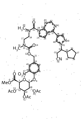 COC(=O)[C@H]1O[C@@H](Oc2ccc(COC(=O)N(C)CCN(C)C(=O)n3ccc4c(-c5cnn(C(CC#N)C6CCCC6)c5)ncnc43)cc2[N+](=O)[O-])[C@H](OC(C)=O)[C@@H](OC(C)=O)[C@@H]1OC(C)=O